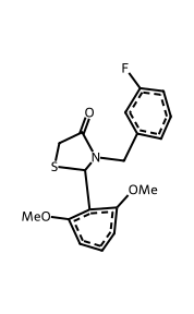 COc1cccc(OC)c1C1SCC(=O)N1Cc1cccc(F)c1